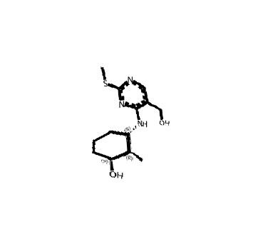 CSc1ncc(CO)c(N[C@H]2CCC[C@H](O)[C@@H]2C)n1